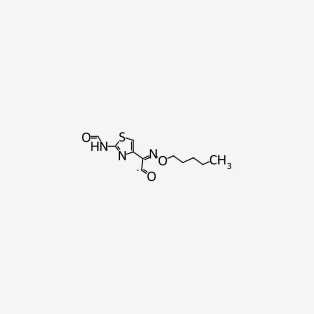 CCCCCON=C([C]=O)c1csc(NC=O)n1